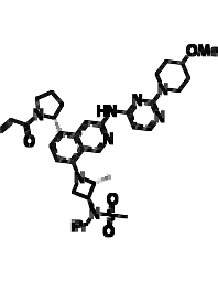 C=CC(=O)N1CCC[C@@H]1c1ccc(N2C[C@H](N(C(C)C)S(C)(=O)=O)[C@H]2C)c2cnc(Nc3ccnc(N4CCC(OC)CC4)n3)cc12